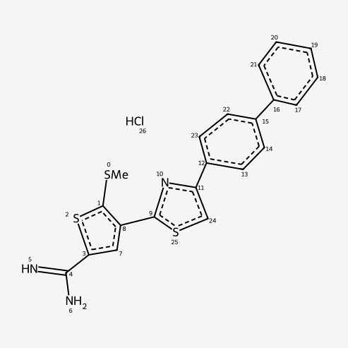 CSc1sc(C(=N)N)cc1-c1nc(-c2ccc(-c3ccccc3)cc2)cs1.Cl